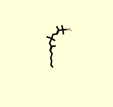 CCCCC/C=C(\C)CC(C)(C)C/C=C(\C)C(C)(C)N